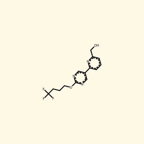 OCc1cccc(-c2cnc(OCCCC(F)(F)F)nc2)n1